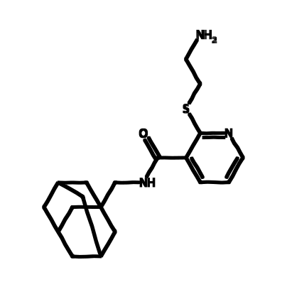 NCCSc1ncccc1C(=O)NCC12CC3CC(CC(C3)C1)C2